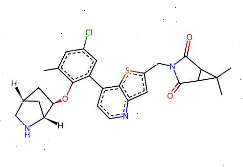 Cc1cc(Cl)cc(-c2ccnc3cc(CN4C(=O)C5C(C4=O)C5(C)C)sc23)c1O[C@@H]1C[C@H]2CN[C@@H]1C2